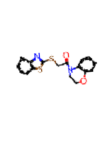 O=C(CSc1nc2ccccc2s1)N1CCOc2ccccc21